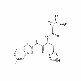 CCC1(C(=O)O)OC1C(=O)NC(Cc1c[nH]cn1)C(=O)Nc1nc2ccc(F)cc2s1